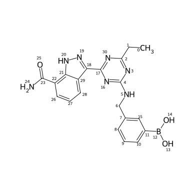 CCc1nc(NCc2cccc(B(O)O)c2)nc(-c2n[nH]c3c(C(N)=O)cccc23)n1